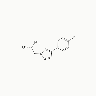 C[C@H](N)Cn1ccc(-c2ccc(F)cc2)n1